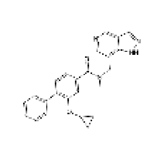 CN(Cc1cncc2cn[nH]c12)C(=O)c1ccc(-c2ccccc2)c(OC2CC2)c1